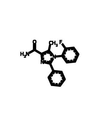 Cc1c(C(N)=O)nc(-c2ccccc2)n1-c1ccccc1F